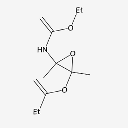 C=C(CC)OC1(C)OC1(C)NC(=C)OCC